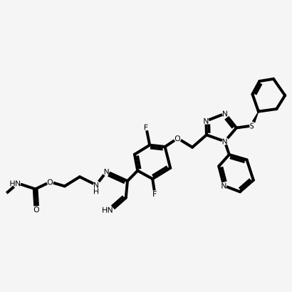 CNC(=O)OCCN/N=C(\C=N)c1cc(F)c(OCc2nnc(S[C@H]3C=CCCC3)n2-c2cccnc2)cc1F